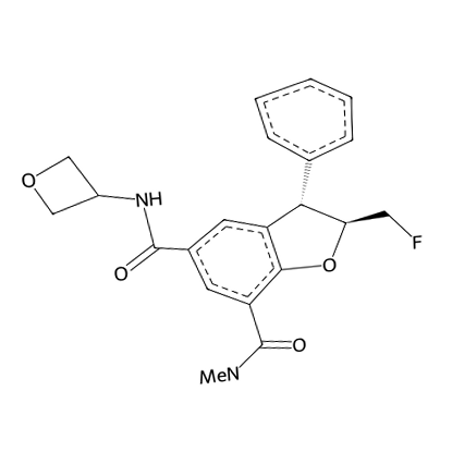 CNC(=O)c1cc(C(=O)NC2COC2)cc2c1O[C@H](CF)[C@H]2c1ccccc1